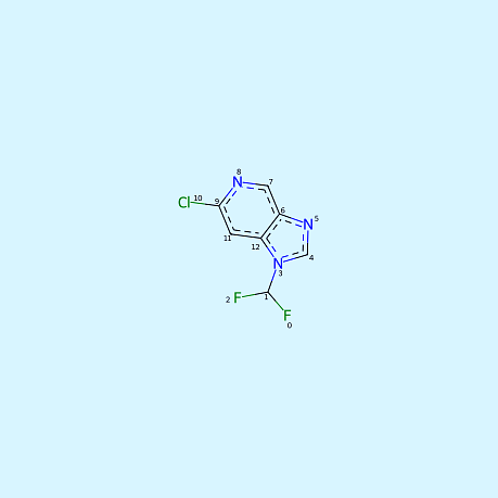 FC(F)n1cnc2cnc(Cl)cc21